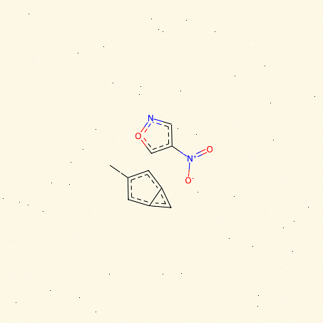 Cc1cc2cc-2c1.O=[N+]([O-])c1cnoc1